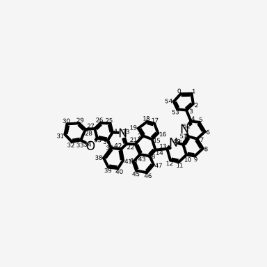 c1ccc(-c2ccc3ccc4ccc(-c5c6ccccc6c(-c6nc7ccc8c9ccccc9oc8c7c7ccccc67)c6ccccc56)nc4c3n2)cc1